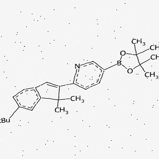 CC(C)(C)c1ccc2c(c1)C(C)(C)C(c1ccc(B3OC(C)(C)C(C)(C)O3)cn1)=C2